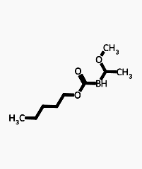 CCCCCOC(=O)BC(C)OC